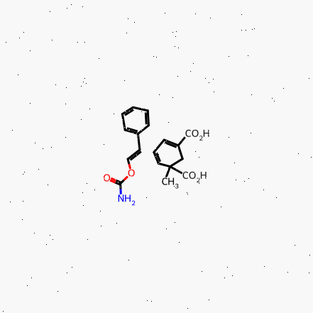 CC1(C(=O)O)C=CC=C(C(=O)O)C1.NC(=O)OC=Cc1ccccc1